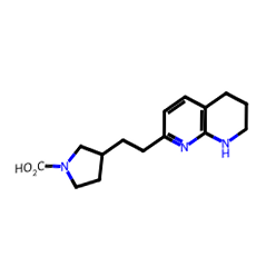 O=C(O)N1CCC(CCc2ccc3c(n2)NCCC3)C1